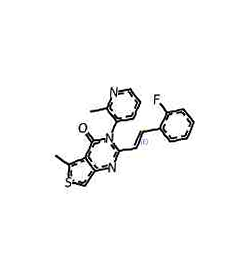 Cc1ncccc1-n1c(/C=C/c2ccccc2F)nc2csc(C)c2c1=O